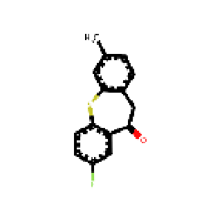 Cc1ccc2c(c1)Sc1ccc(F)cc1C(=O)C2